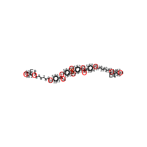 CCC1(COCCCCCCOc2ccc(C(=O)Oc3ccc(S(=O)(=O)c4ccc(OC(=O)c5ccc(OCCCCCCOCC6(CC)COC6)cc5)cc4)cc3)cc2)COC1